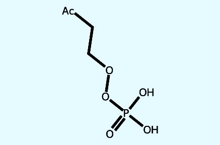 CC(=O)CCOOP(=O)(O)O